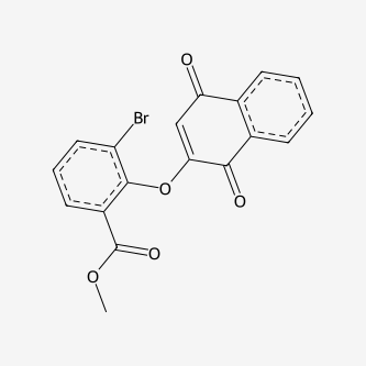 COC(=O)c1cccc(Br)c1OC1=CC(=O)c2ccccc2C1=O